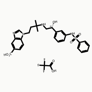 CC(C)(CCn1cnc2cc(C(=O)O)ccc21)NC[C@H](O)c1cccc(NS(=O)(=O)c2ccccc2)c1.O=C(O)C(F)(F)F